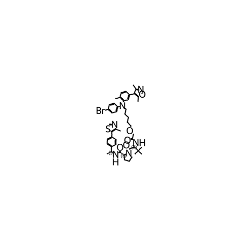 Cc1ccc(-c2c(C)noc2C)cc1N(CCCCCOCC(=O)N[C@H](C(=O)N1CCC[C@H]1C(=O)N[C@@H](C)c1ccc(-c2scnc2C)cc1)C(C)(C)C)c1ccc(Br)cc1